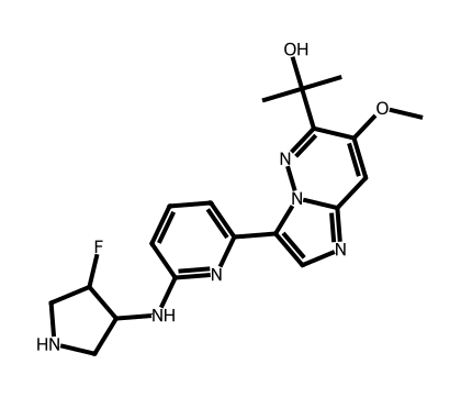 COc1cc2ncc(-c3cccc(NC4CNCC4F)n3)n2nc1C(C)(C)O